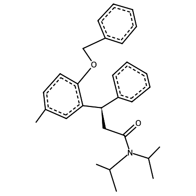 Cc1ccc(OCc2ccccc2)c([C@H](CC(=O)N(C(C)C)C(C)C)c2ccccc2)c1